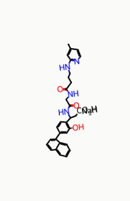 Cc1ccnc(NCCCC(=O)NCC(=O)NC(CC(=O)O)c2ccc(-c3cccc4ccccc34)cc2O)c1.[NaH]